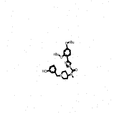 CCCCOc1ccc(-c2cn(C(=O)N(C)C3CCN(Cc4cccc(O)c4)CC3)cn2)c(OCCCC)c1